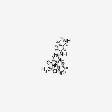 CC(C)n1c(=O)c2cnc(Nc3ccc4c(c3)CNCC4)nc2n1-c1ccccc1F